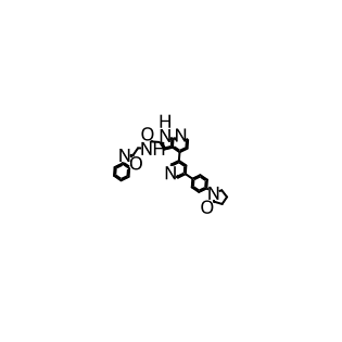 O=C(NCc1nc2ccccc2o1)c1cc2c(-c3cncc(-c4ccc(N5CCCC5=O)cc4)c3)ccnc2[nH]1